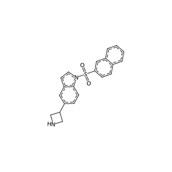 O=S(=O)(c1ccc2ccccc2c1)n1ccc2cc(C3CNC3)ccc21